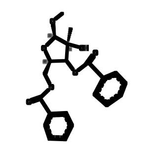 CO[C@@H]1O[C@H](COC(=O)c2ccccc2)C(OC(=O)c2ccccc2)[C@]1(C)O